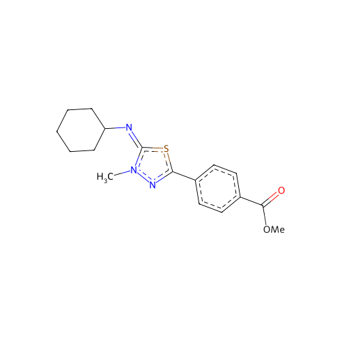 COC(=O)c1ccc(-c2nn(C)/c(=N\C3CCCCC3)s2)cc1